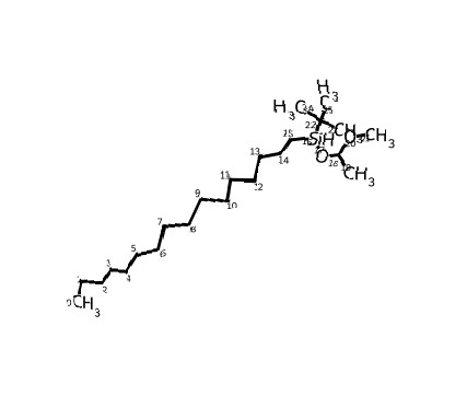 CCCCCCCCCCCCCCCC[SiH](OC(C)OC)C(C)(C)C